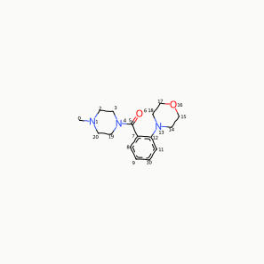 CN1CCN(C(=O)c2ccccc2N2CCOCC2)CC1